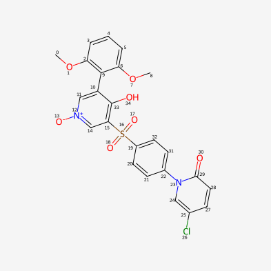 COc1cccc(OC)c1-c1c[n+]([O-])cc(S(=O)(=O)c2ccc(-n3cc(Cl)ccc3=O)cc2)c1O